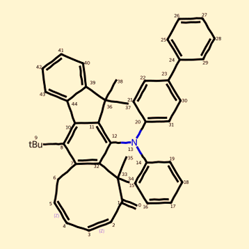 C=C1/C=C\C=C/Cc2c(C(C)(C)C)c3c(c(N(c4ccccc4)c4ccc(-c5ccccc5)cc4)c2C1(C)C)C(C)(C)c1ccccc1-3